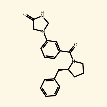 O=C1CN(c2cccc(C(=O)N3CCC[C@H]3Cc3ccccc3)c2)CN1